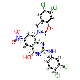 O=CN(Cc1ccc(Cl)c(Cl)c1)c1cc([N+](=O)[O-])cc2c(O)nc(Nc3ccc(Cl)c(Cl)c3)nc12